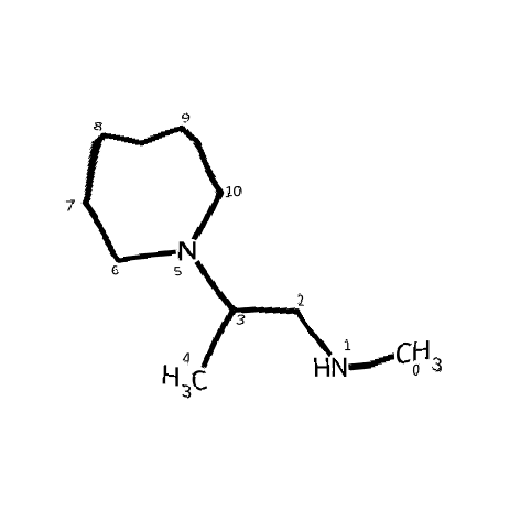 CNCC(C)N1CCCCC1